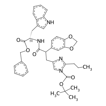 CCCc1nc(CC(C(=O)N[C@@H](Cc2c[nH]c3ccccc23)C(=O)OCc2ccccc2)c2ccc3c(c2)OCO3)cn1C(=O)OC(C)(C)C